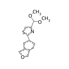 COC(OC)c1csc(-c2ccc3cocc3c2)n1